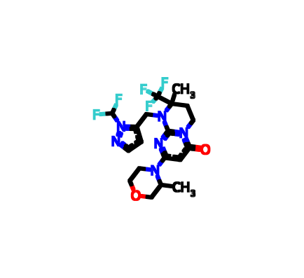 CC1COCCN1c1cc(=O)n2c(n1)N(Cc1ccnn1C(F)F)C(C)(C(F)(F)F)CC2